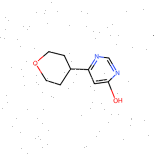 Oc1cc(C2CCOCC2)ncn1